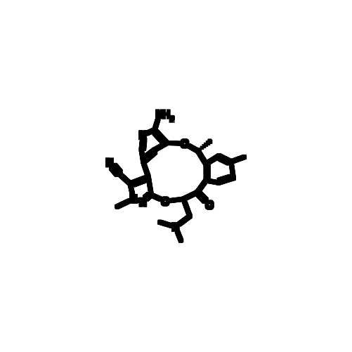 Cc1ccc2c(c1)[C@@H](C)Oc1cc(cnc1N)-c1c(nn(C)c1C#N)OC(CN(C)C)C2=O